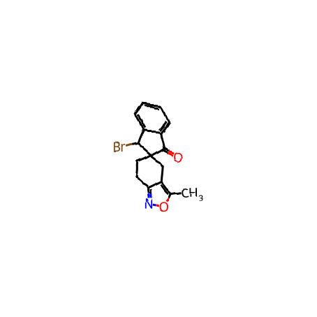 Cc1onc2c1CC1(CC2)C(=O)c2ccccc2C1Br